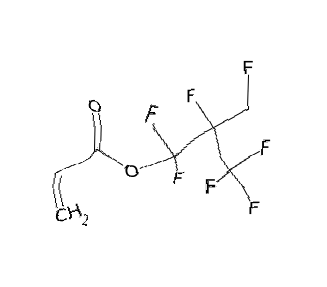 C=CC(=O)OC(F)(F)C(F)(CF)C(F)(F)F